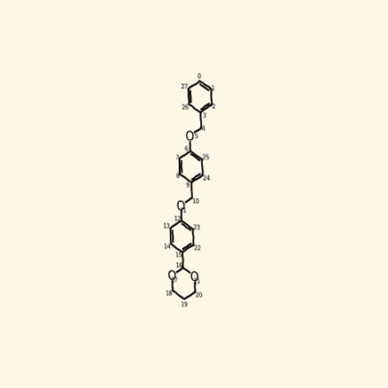 c1ccc(COc2ccc(COc3ccc(C4OCCCO4)cc3)cc2)cc1